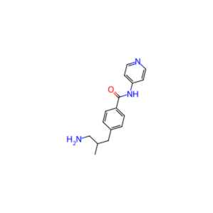 CC(CN)Cc1ccc(C(=O)Nc2ccncc2)cc1